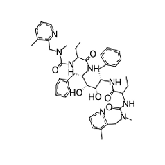 CCC(NC(=O)N(C)Cc1ncccc1C)C(=O)N[C@@H](Cc1ccccc1)[C@H](O)[C@H](O)[C@H](Cc1ccccc1)NC(=O)C(CC)NC(=O)N(C)Cc1ncccc1C